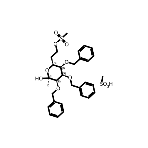 CS(=O)(=O)O.C[C@]1(O)O[C@@H](CCOS(C)(=O)=O)[C@@H](OCc2ccccc2)[C@@H](OCc2ccccc2)[C@H]1OCc1ccccc1